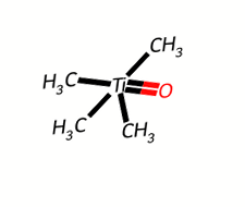 [CH3][Ti]([CH3])([CH3])([CH3])=[O]